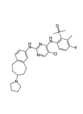 Cc1c(F)ccc(Nc2nc(Nc3ccc4c(c3)CCC(N3CCCC3)CC4)ncc2Cl)c1P(C)(C)=O